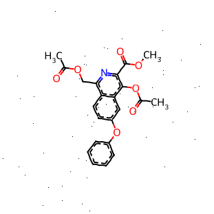 COC(=O)c1nc(COC(C)=O)c2ccc(Oc3ccccc3)cc2c1OC(C)=O